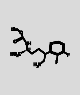 CC(C)(C)OC(=O)N[C@H](CCC(CN)c1cccc(F)c1F)C(=O)O